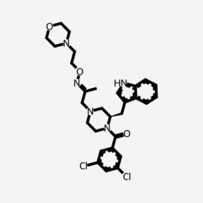 C/C(CN1CCN(C(=O)c2cc(Cl)cc(Cl)c2)[C@H](Cc2c[nH]c3ccccc23)C1)=N\OCCN1CCOCC1